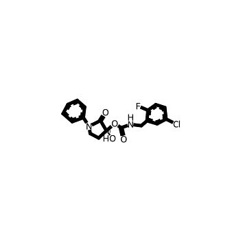 O=C(NCc1cc(Cl)ccc1F)O[C@@]1(O)CCN(c2ccccc2)C1=O